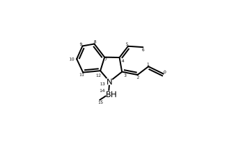 C=C/C=c1\c(=C/C)c2ccccc2n1BC